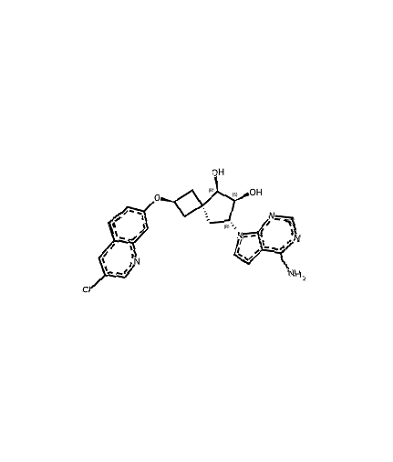 Nc1ncnc2c1ccn2[C@@H]1C[C@]2(C[C@H](Oc3ccc4cc(Cl)cnc4c3)C2)[C@@H](O)[C@H]1O